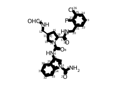 NC(=O)n1cc(NC(=O)N2C[C@@H](CNC=O)C[C@H]2C(=O)NCc2cccc(Cl)c2F)c2ccccc21